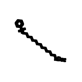 CCCCCCCCCCCCCCCCCCCCCCC[CH][Si](C)(C)c1ccccc1